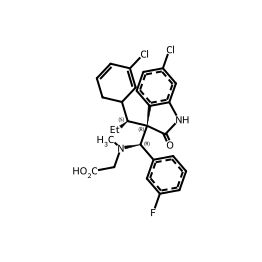 CC[C@@H](C1C=C(Cl)C=CC1)[C@@]1([C@@H](c2cccc(F)c2)N(C)CC(=O)O)C(=O)Nc2cc(Cl)ccc21